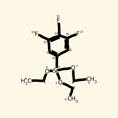 CCO[Si](OCC)(OCC)c1cc(F)c(F)c(F)c1